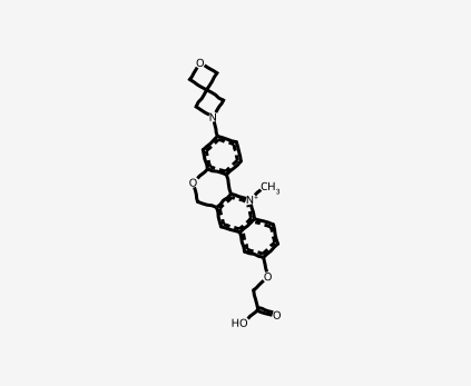 C[n+]1c2c(cc3cc(OCC(=O)O)ccc31)COc1cc(N3CC4(COC4)C3)ccc1-2